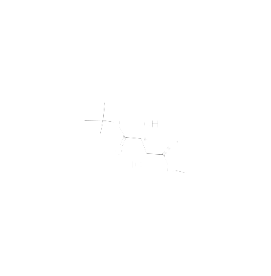 COC(=O)[C@H](O)[C@@H](O)C(=O)OC(C)(C)C